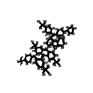 CC(C)(C)c1ccc(N2c3ccc(C(C)(C)C)cc3B3c4cc(C(C)(C)C)ccc4N(c4ccc(N(c5ccc(-c6ccccc6)cc5)c5ccc(C(C)(C)C)cc5)c5c4oc4ccccc45)c4cc(C(C)(C)C)cc2c43)cc1